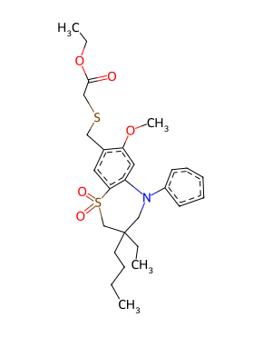 CCCCC1(CC)CN(c2ccccc2)c2cc(OC)c(CSCC(=O)OCC)cc2S(=O)(=O)C1